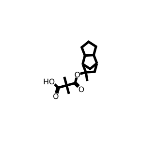 CC(C)(C(=O)O)C(=O)OC1(C)CC2CC1C1CCCC21